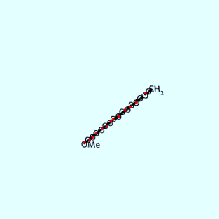 C=COCCOCCOCCOCCOCCOCCOCCOCCOCCOCCOCCOCCOCCOCCOCCOC